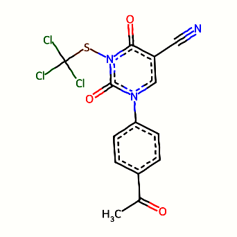 CC(=O)c1ccc(-n2cc(C#N)c(=O)n(SC(Cl)(Cl)Cl)c2=O)cc1